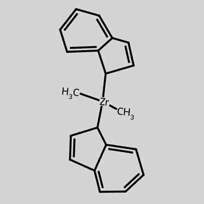 [CH3][Zr]([CH3])([CH]1C=Cc2ccccc21)[CH]1C=Cc2ccccc21